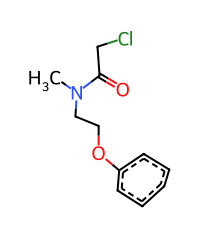 CN(CCOc1ccccc1)C(=O)CCl